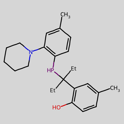 CCC(CC)(Pc1ccc(C)cc1N1CCCCC1)c1cc(C)ccc1O